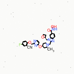 C[C@H]1C[C@@H](Oc2ccnc(COc3ccc(F)cc3C#N)n2)CCN1Cc1nc2ccc(C(=O)NO)cc2n1C[C@@H]1CCO1